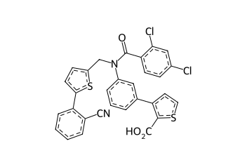 N#Cc1ccccc1-c1ccc(CN(C(=O)c2ccc(Cl)cc2Cl)c2cccc(-c3ccsc3C(=O)O)c2)s1